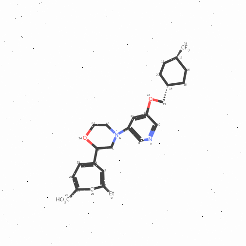 CCC1=CC(C2CN(c3cncc(OC[C@H]4CC[C@H](C(F)(F)F)CC4)c3)CCO2)=CC=C(C(=O)O)C1